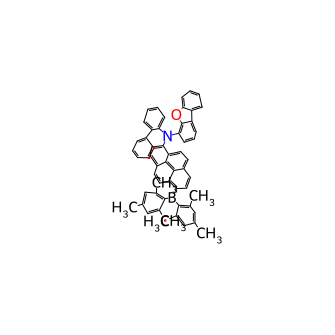 Cc1cc(C)c(B(c2c(C)cc(C)cc2C)c2ccc3ccc4c(N(c5ccccc5-c5ccccc5)c5cccc6c5oc5ccccc56)ccc5ccc2c3c54)c(C)c1